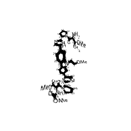 COCCn1c2cc(-c3cnc([C@@H]4CCCN4C(=O)[C@@H](N)[C@@H](C)OC)[nH]3)ccc2c2ccc(-c3cnc([C@@H]4CCCN4C(=O)[C@@H](NC(=O)OC)[C@@H](C)OC)[nH]3)cc21